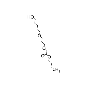 CCCCOC(=O)COCCCOCCCCCO